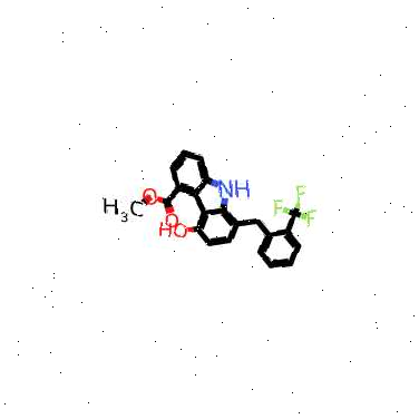 COC(=O)c1cccc2[nH]c3c(Cc4ccccc4C(F)(F)F)ccc(O)c3c12